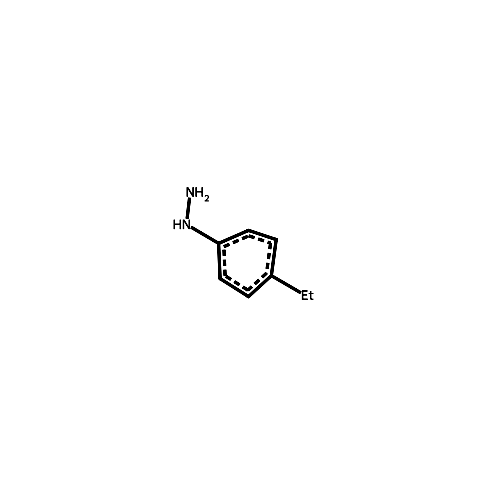 CCc1ccc(NN)cc1